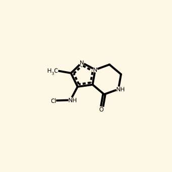 Cc1nn2c(c1NCl)C(=O)NCC2